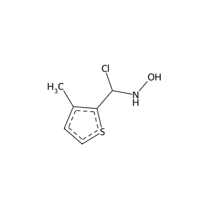 Cc1ccsc1C(Cl)NO